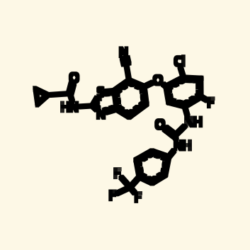 N#Cc1c(Oc2cc(NC(=O)Nc3ccc(C(F)(F)F)cc3)c(F)cc2Cl)ccc2nc(NC(=O)C3CC3)sc12